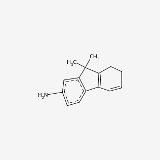 CC1(C)C2=C(C=CCC2)c2ccc(N)cc21